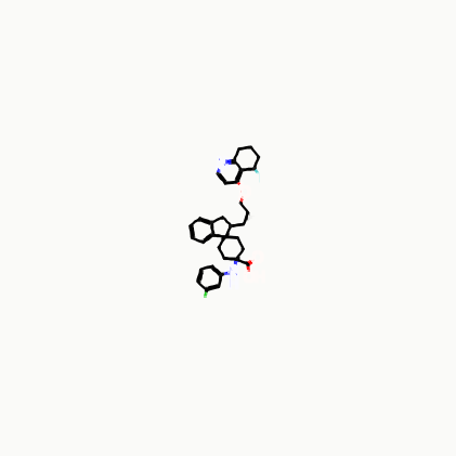 C[C@@H](COc1ccnc2c1C(F)CCC2)CC1Cc2ccccc2C12CCC(Nc1cccc(Cl)c1)(C(=O)O)CC2